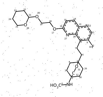 O=C(O)NC12CCC(CCc3c(F)cnc4ccc(OCCOC5CCCCO5)nc34)(CC1)OC2